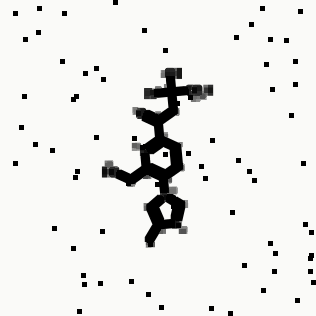 CCC(O)(CC(=O)c1ccc(-n2cnc(C)c2)c(CO)n1)C(=O)O